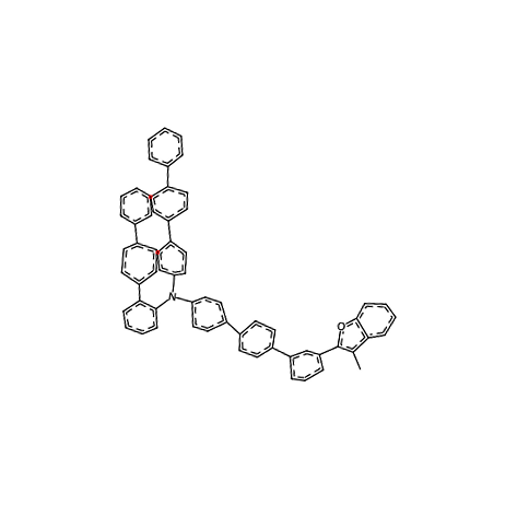 Cc1c(-c2cccc(-c3ccc(-c4ccc(N(c5ccc(-c6ccc(-c7ccccc7)cc6)cc5)c5ccccc5-c5ccc(-c6ccccc6)cc5)cc4)cc3)c2)oc2ccccc12